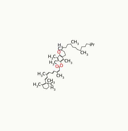 CC(C=C/C=C(/C)C=CC1=C(C)CCCC1(C)C)=CC(=O)Oc1c(C)c(C)c2c(c1C)CC[C@@](C)(CCC[C@H](C)CCC[C@H](C)CCCC(C)C)O2